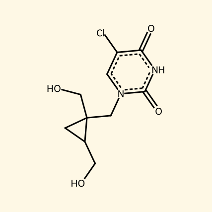 O=c1[nH]c(=O)n(CC2(CO)CC2CO)cc1Cl